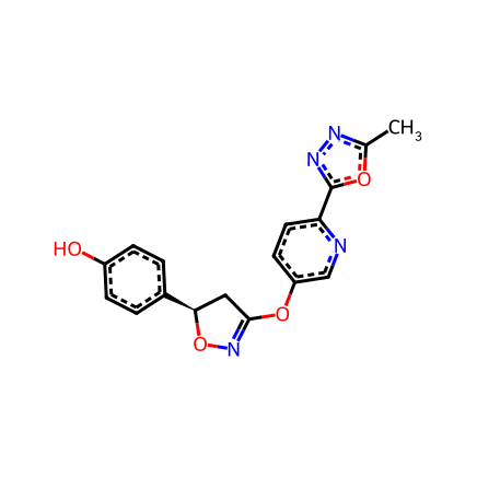 Cc1nnc(-c2ccc(OC3=NO[C@@H](c4ccc(O)cc4)C3)cn2)o1